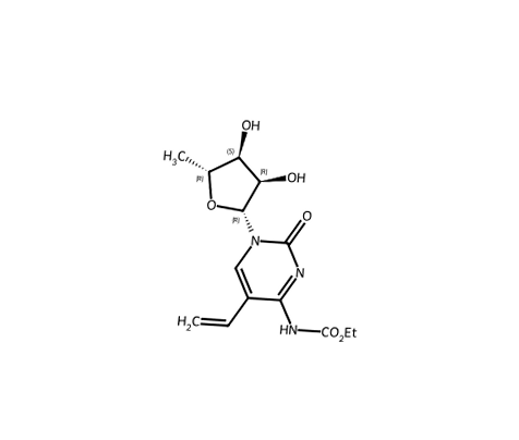 C=Cc1cn([C@@H]2O[C@H](C)[C@@H](O)[C@H]2O)c(=O)nc1NC(=O)OCC